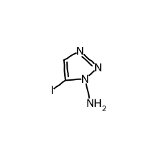 Nn1nncc1I